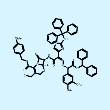 COc1ccc(COC(=O)C2=C(CCl)CS[C@@H]3[C@H](NC(=O)/C(=N\O[C@@H](C(=O)OC(c4ccccc4)c4ccccc4)c4ccc(OC(C)=O)c(OC(C)=O)c4)c4csc(NC(c5ccccc5)(c5ccccc5)c5ccccc5)n4)C(=O)N23)cc1